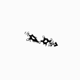 O=C(NS(=O)(=O)N1CCC1)c1cc(Cl)c(COc2ccc(OC(F)(F)F)c(Cl)c2)cc1F